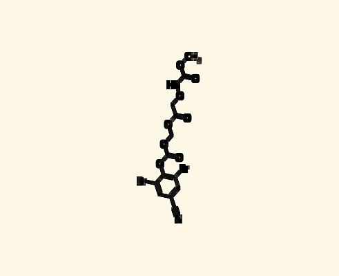 COC(=O)NOCC(=O)OCOC(=O)Oc1c(Br)cc(C#N)cc1Br